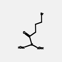 CCCCCCCCCCN(CCCCCCCCCC)C(=O)CCCBr